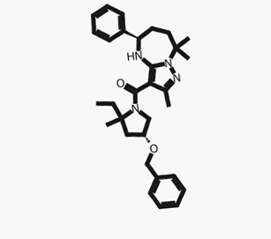 CCC1(C)C[C@@H](OCc2ccccc2)CN1C(=O)c1c(C)nn2c1N[C@@H](c1ccccc1)CCC2(C)C